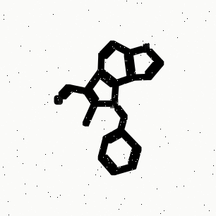 Cc1c(C=O)c2ccc3sccc3c2n1Cc1ccccc1